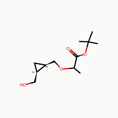 CC(OC[C@@H]1C[C@@H]1CO)C(=O)OC(C)(C)C